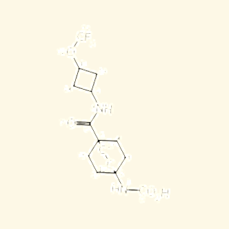 O=C(O)NC12CCC(C(=O)NC3CC(OC(F)(F)F)C3)(CC1)CC2